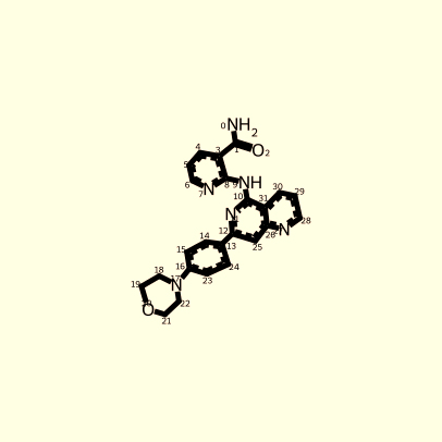 NC(=O)c1cccnc1Nc1nc(-c2ccc(N3CCOCC3)cc2)cc2ncccc12